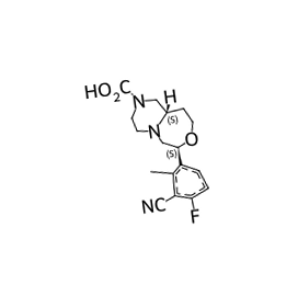 Cc1c([C@H]2CN3CCN(C(=O)O)C[C@@H]3CCO2)ccc(F)c1C#N